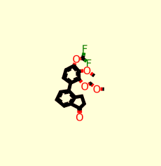 COCOc1c(-c2cccc3c2CCC3=O)ccc(OC(F)F)c1OC